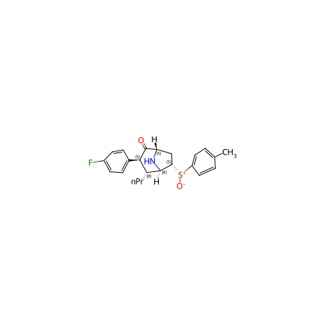 CCC[C@H]1[C@H]2N[C@@H](C[C@@H]2[S+]([O-])c2ccc(C)cc2)C(=O)[C@@H]1c1ccc(F)cc1